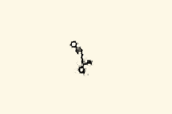 O=C(NCCN1CCN(C2CCCCC2)CC1)C(c1cc(C(F)(F)F)cc(C(F)(F)F)c1)c1cccs1